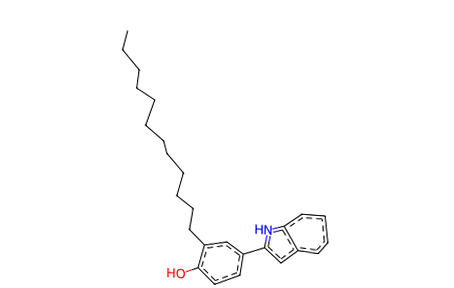 CCCCCCCCCCCCc1cc(-c2cc3ccccc3[nH]2)ccc1O